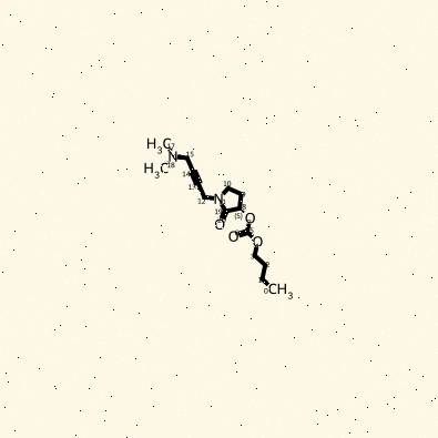 CCCCOC(=O)O[C@H]1CCN(CC#CCN(C)C)C1=O